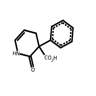 O=C(O)C1(c2ccccc2)CC=CNC1=O